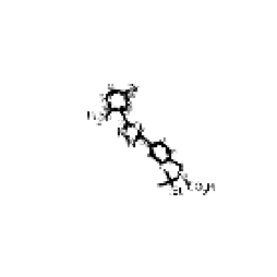 CCC(C)(C)N(Cc1ccc(-c2nnc(-c3nc(Br)cnc3N)o2)cc1)C(=O)O